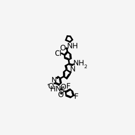 COc1ncc(-c2ccc3nc(N)c(-c4ccc(C(=O)NC5CCCC5)c(Cl)c4)cc3c2)cc1NS(=O)(=O)c1ccc(F)cc1F